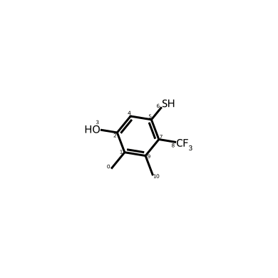 Cc1c(O)cc(S)c(C(F)(F)F)c1C